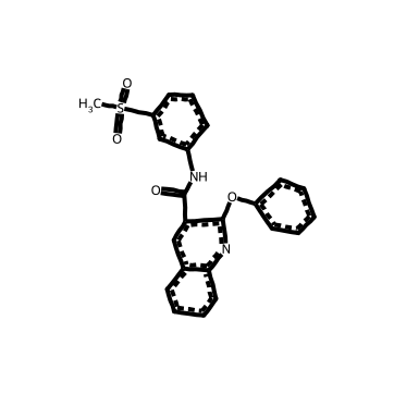 CS(=O)(=O)c1cccc(NC(=O)c2cc3ccccc3nc2Oc2ccccc2)c1